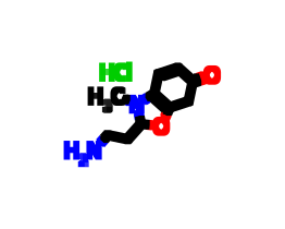 CN1C2=C(CC(=O)C=C2)OC1CCN.Cl